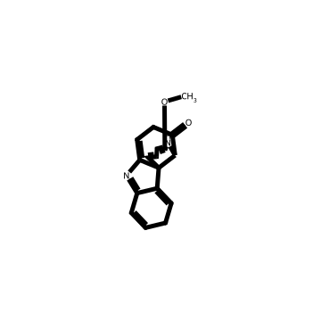 COC1=CC=CC23C(=CCC(=O)C2N1)N=C1C=CCC=C13